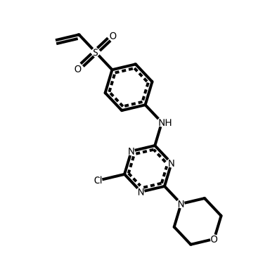 C=CS(=O)(=O)c1ccc(Nc2nc(Cl)nc(N3CCOCC3)n2)cc1